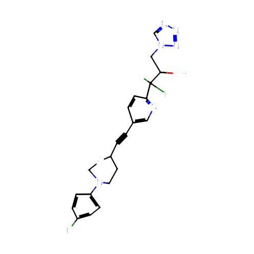 OC(Cn1cnnn1)C(F)(F)c1ccc(C#CC2CCN(c3ccc(F)cc3)CC2)cn1